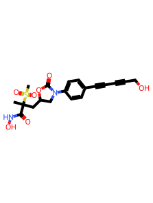 CC(CC1CN(c2ccc(C#CC#CCO)cc2)C(=O)O1)(C(=O)NO)S(C)(=O)=O